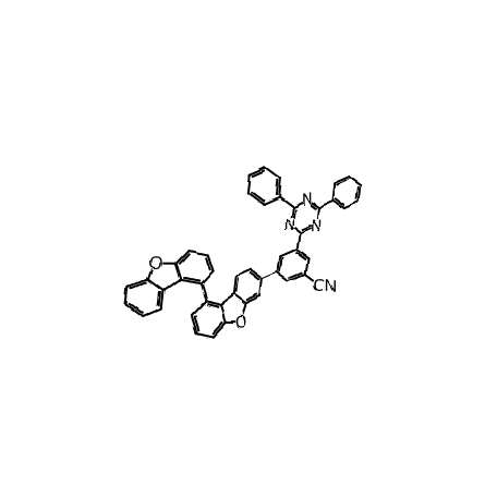 N#Cc1cc(-c2ccc3c(c2)oc2cccc(-c4cccc5oc6ccccc6c45)c23)cc(-c2nc(-c3ccccc3)nc(-c3ccccc3)n2)c1